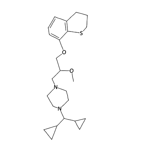 COC(COc1cccc2c1SCCC2)CN1CCN(C(C2CC2)C2CC2)CC1